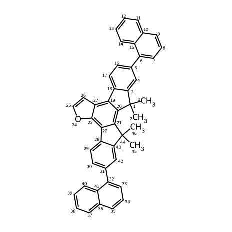 CC1(C)c2cc(-c3cccc4ccccc34)ccc2-c2c1c1c(c3occc23)-c2ccc(-c3cccc4ccccc34)cc2C1(C)C